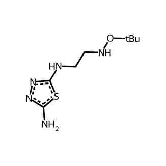 CC(C)(C)ONCCNc1nnc(N)s1